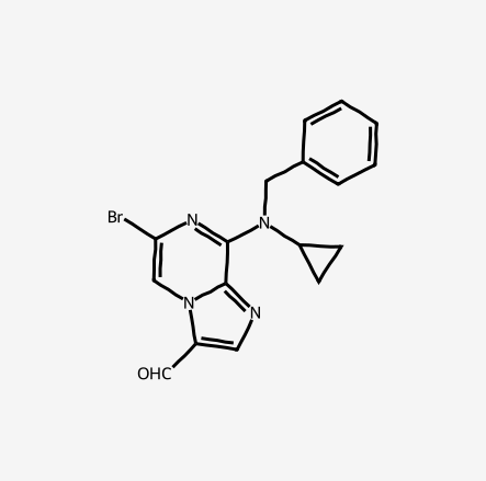 O=Cc1cnc2c(N(Cc3ccccc3)C3CC3)nc(Br)cn12